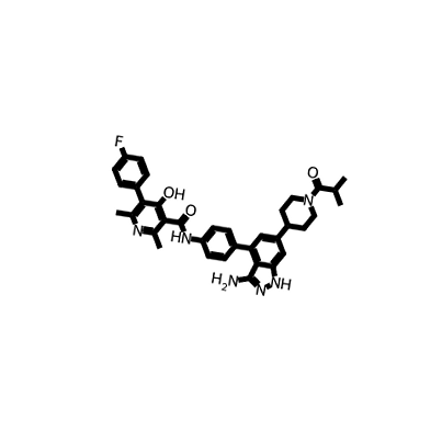 Cc1nc(C)c(-c2ccc(F)cc2)c(O)c1C(=O)Nc1ccc(-c2cc(C3CCN(C(=O)C(C)C)CC3)cc3[nH]nc(N)c23)cc1